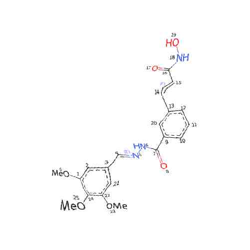 COc1cc(/C=N/NC(=O)c2cccc(/C=C/C(=O)NO)c2)cc(OC)c1OC